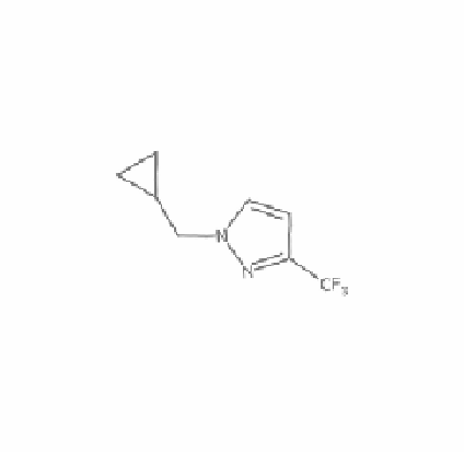 FC(F)(F)c1ccn(CC2CC2)n1